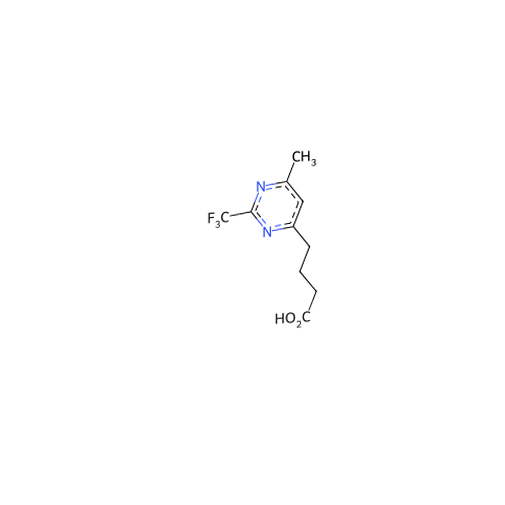 Cc1cc(CCCC(=O)O)nc(C(F)(F)F)n1